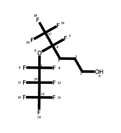 OCCCC(F)(OC(F)(F)C(F)(F)C(F)(F)F)C(F)(F)F